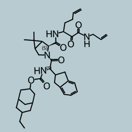 C=CCCC(NC(=O)[C@@H]1C2C(CN1C(=O)[C@@H](NC(=O)OC1CC3CC(CC)CC(C3)C1)C1Cc3ccccc3C1)C2(C)C)C(=O)C(=O)NCC=C